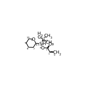 C=CC(=O)O[SiH](C1CCCCO1)[Si](C)(C)C